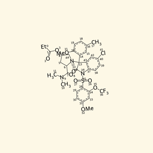 CCC(=O)OC1CC(C(=O)N(C)C)N(C2(c3cc(C)ccc3OC)C(=O)N(S(=O)(=O)c3ccc(OC)cc3OC(F)(F)F)c3ccc(Cl)cc32)C1